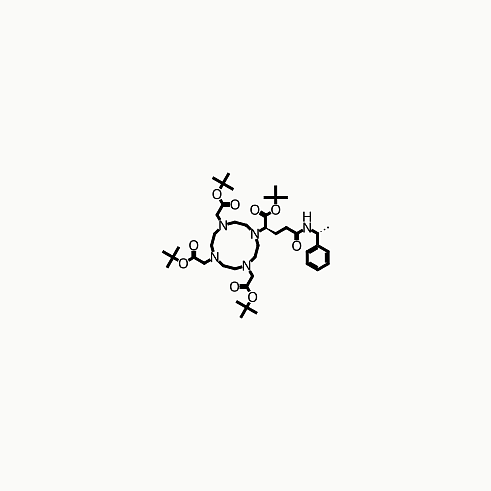 C[C@@H](NC(=O)CC[C@H](C(=O)OC(C)(C)C)N1CCN(CC(=O)OC(C)(C)C)CCN(CC(=O)OC(C)(C)C)CCN(CC(=O)OC(C)(C)C)CC1)c1ccccc1